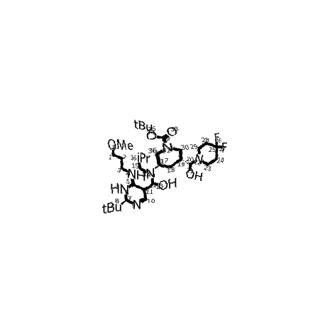 COCCCNC1N[C@H](C(C)(C)C)N=CC1C(O)N(CC(C)C)[C@H]1C[C@@H](C(O)N2CCC(F)(F)CC2)CN(C(=O)OC(C)(C)C)C1